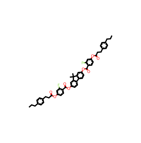 CCCc1ccc(CCC(=O)Oc2ccc(C(=O)Oc3ccc4c(c3)C(C)(C)c3cc(OC(=O)c5ccc(OC(=O)CCc6ccc(CCC)cc6)cc5F)ccc3-4)c(F)c2)cc1